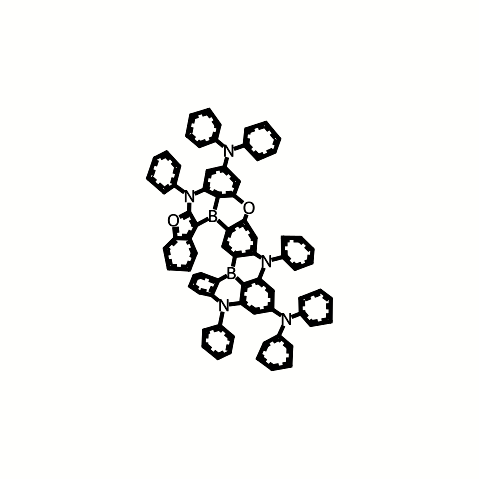 c1ccc(N(c2ccccc2)c2cc3c4c(c2)N(c2ccccc2)c2oc5ccccc5c2B4c2cc4c(cc2O3)N(c2ccccc2)c2cc(N(c3ccccc3)c3ccccc3)cc3c2B4c2ccccc2N3c2ccccc2)cc1